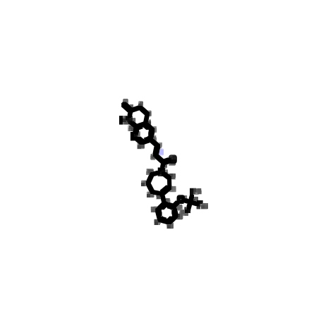 C=C1CCc2cc(/C=C/C(=O)N3CC=C(c4ccccc4OC(F)(F)F)CCC3)cnc2N1